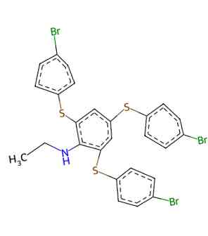 CCNc1c(Sc2ccc(Br)cc2)cc(Sc2ccc(Br)cc2)cc1Sc1ccc(Br)cc1